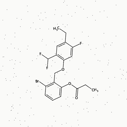 CCC(=O)Oc1cccc(Br)c1COc1cc(F)c(CC)cc1C(F)F